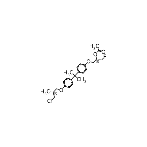 CC(=O)O[C@H](CF)COc1ccc(C(C)(C)c2ccc(OC[C@@H](C)CCl)cc2)cc1